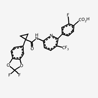 O=C(O)c1ccc(-c2nc(NC(=O)C3(c4ccc5c(c4)OC(F)(F)O5)CC3)ccc2C(F)(F)F)cc1F